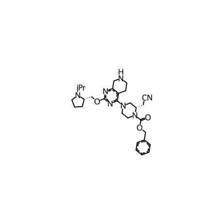 CC(C)N1CCC[C@H]1COc1nc2c(c(N3CCN(C(=O)OCc4ccccc4)[C@@H](CC#N)C3)n1)CCNC2